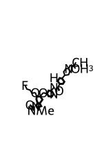 CNC(=O)n1ccc2cc(Oc3ccnc(NC(=O)c4ccc(C5CCN(CC(C)O)CC5)cc4)c3)c(OCCCF)cc21